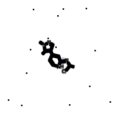 Cc1c(-c2cc[nH]/c(=N\C(C)Cl)c2)cnn1C